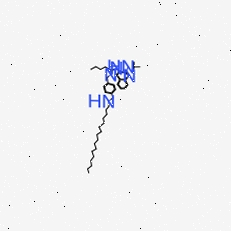 CCCCCCCCCCCCCCCCCNCc1ccc(Cn2c(CCCC)nc3c(NC(C)(C)C)nc4ccccc4c32)cc1